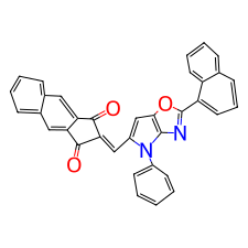 O=C1C(=Cc2cc3oc(-c4cccc5ccccc45)nc3n2-c2ccccc2)C(=O)c2cc3ccccc3cc21